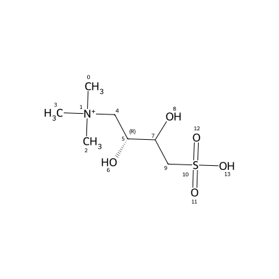 C[N+](C)(C)C[C@@H](O)C(O)CS(=O)(=O)O